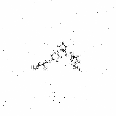 COC(=O)/C=C/c1ccc([C@@H]2CCCN2CCn2ccc(C)n2)cc1